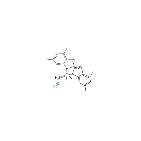 CC1=Cc2c(C)cc(C)cc2[CH]1[Ti]([CH3])([CH3])(=[SiH2])[CH]1C(C)=Cc2c(C)cc(C)cc21.Cl.Cl